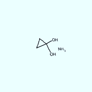 N.OC1(O)CC1